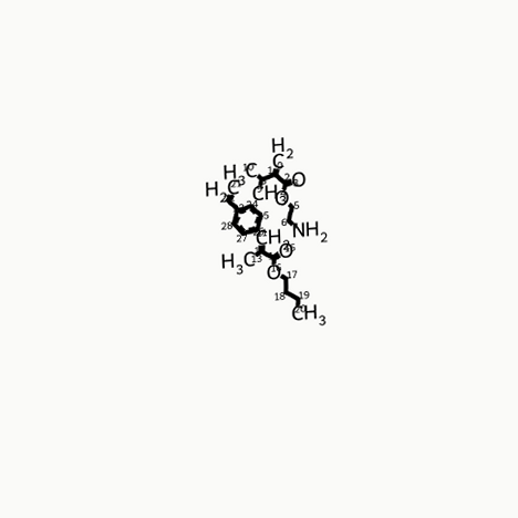 C=C(C(=O)OCCN)C(C)C.C=C(C)C(=O)OCCCC.C=Cc1ccccc1